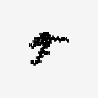 CCCCC=C1C[C@H]2C[C@@H](O)[C@H](C=C[C@@H](O)CCCCC)[C@H]2C1.CCCNCCC